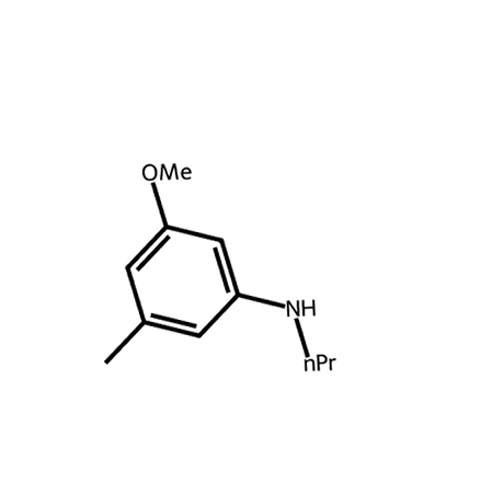 CCCNc1cc(C)cc(OC)c1